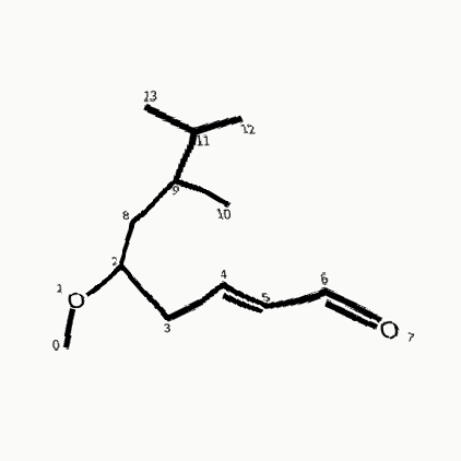 COC(CC=CC=O)CC(C)C(C)C